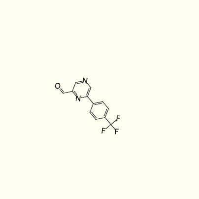 O=Cc1cncc(-c2ccc(C(F)(F)F)cc2)n1